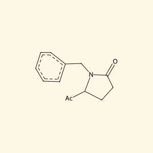 CC(=O)C1CCC(=O)N1Cc1ccccc1